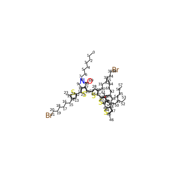 CCCCCCCCN1Cc2c(-c3cc(CCCCCCBr)c(C)s3)sc(-c3cc(CCCCCCBr)c(-c4cc5c(s4)-c4sc(C)cc4[Si]5(CC(CC)CCCC)CC(CC)CCCC)s3)c2C1=O